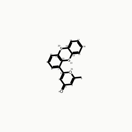 Cc1cc(=O)cc(-c2cccc3c2Sc2ccccc2S3)o1